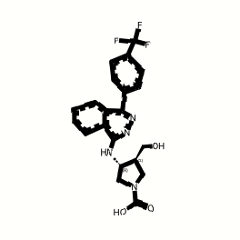 O=C(O)N1C[C@H](CO)[C@@H](Nc2nnc(-c3ccc(C(F)(F)F)cc3)c3ccccc23)C1